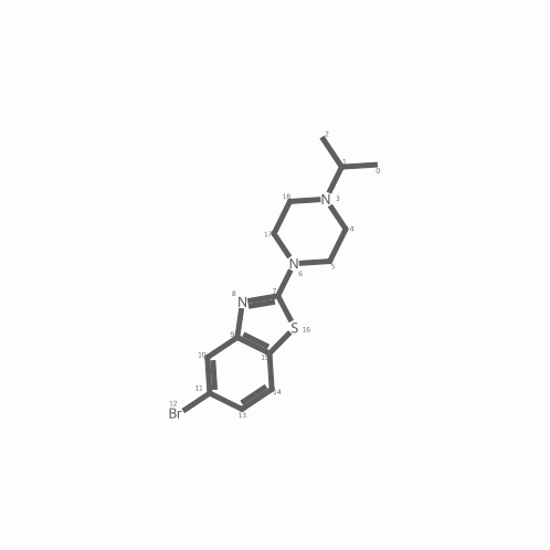 CC(C)N1CCN(c2nc3cc(Br)ccc3s2)CC1